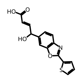 O=C(O)/C=C/C(O)c1ccc2nc(-c3cccs3)oc2c1